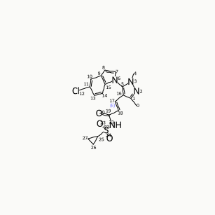 Cc1nn(C)c(-n2ccc3cc(Cl)ccc32)c1/C=C/C(=O)NS(=O)(=O)C1CC1